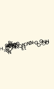 CCc1cc(Nc2ncc(Br)c(Nc3ccc4nccnc4c3P(C)(C)=O)n2)c(OC)cc1N1CCC(N2CCN(CCOc3cccc(C4CCC(=O)NC4=O)c3)CC2)CC1